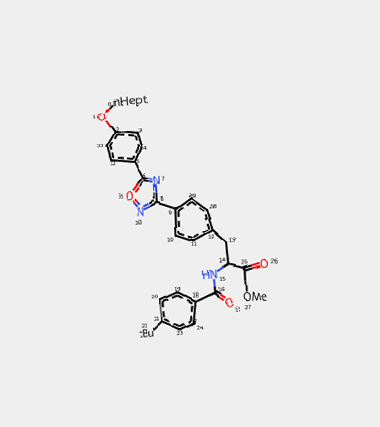 CCCCCCCOc1ccc(-c2nc(-c3ccc(CC(NC(=O)c4ccc(C(C)(C)C)cc4)C(=O)OC)cc3)no2)cc1